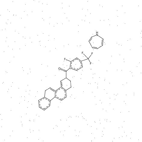 C1=CC=CNC=C1.O=C(c1ccc(C(F)(F)F)cc1F)C1C=c2c(ccc3c2=CCc2ccccc2-3)CC1